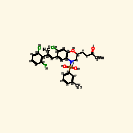 COC(=O)CC[C@H]1CN(S(=O)(=O)c2cccc(C(F)(F)F)c2)c2cc(C=C(C)c3c(F)cccc3Cl)c(Cl)cc2O1